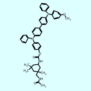 COc1ccc(N(c2ccccc2)c2ccc(-c3ccc(N(c4ccccc4)c4ccc(OC(=O)NC5CC(C)(C)CC(C)(CNC(C)=O)C5)cc4)cc3)cc2)cc1